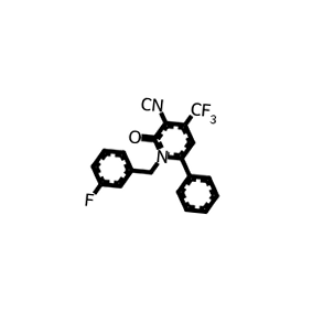 [C-]#[N+]c1c(C(F)(F)F)cc(-c2ccccc2)n(Cc2cccc(F)c2)c1=O